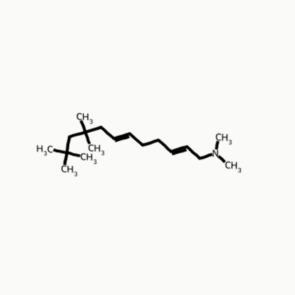 CN(C)CC=CCCC=CCC(C)(C)CC(C)(C)C